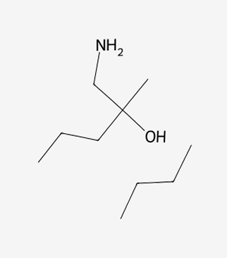 CCCC.CCCC(C)(O)CN